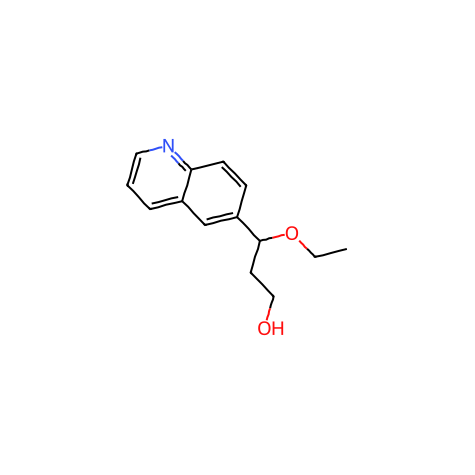 CCOC(CCO)c1ccc2ncccc2c1